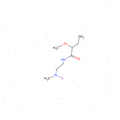 CCC(OC)C(=O)NCCN(C)I